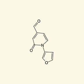 O=Cc1ccn(-c2ccoc2)c(=O)c1